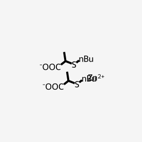 CCCCSC(C)C(=O)[O-].CCCCSC(C)C(=O)[O-].[Zn+2]